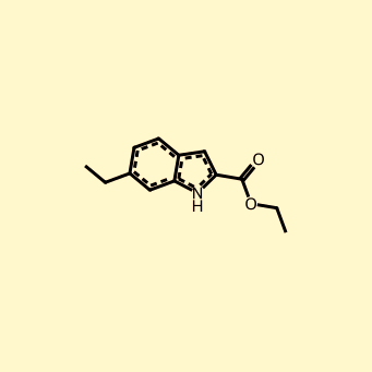 CCOC(=O)c1cc2ccc(CC)cc2[nH]1